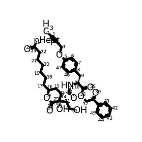 CC#CCOc1ccc(C[C@H](NC(=O)[C@H]2CC(CCCCCCC(=O)CCCCCCC)OC(=O)[C@]2(O)CCO)C(=O)OCC(=O)c2ccccc2)cc1